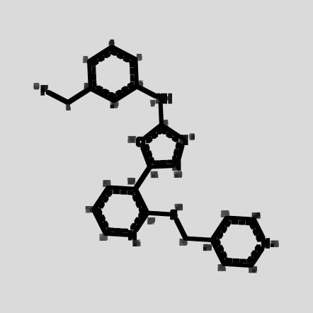 FCc1cccc(Nc2nnc(-c3cccnc3SCc3ccncc3)o2)c1